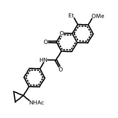 CCc1c(OC)ccc2cc(C(=O)Nc3ccc(C4(NC(C)=O)CC4)cc3)c(=O)oc12